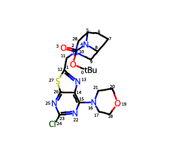 CC(C)(C)OC(=O)N1C2CCC1CN(Cc1nc3c(N4CCOCC4)nc(Cl)nc3s1)C2